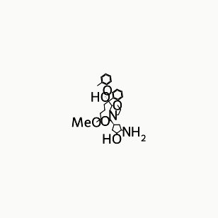 COCCCC[C@@](O)(c1ccccc1Oc1ccccc1C)C1CN(C(=O)[C@H]2C[C@@H](N)[C@@H](O)C2)CCO1